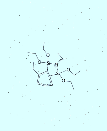 CCO[Si](OCC)(OCC)c1cccc(CC)c1[Si](OCC)(OCC)OCC